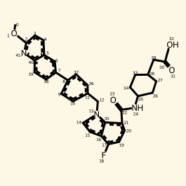 COc1ccc2cc(-c3ccc(Cn4ccc5c(F)ccc(C(=O)NC6CCC(CC(=O)O)CC6)c54)cc3)ccc2n1